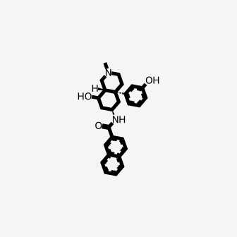 CN1CC[C@@]2(c3cccc(O)c3)C[C@H](NC(=O)c3ccc4ccccc4c3)CC(O)[C@@H]2C1